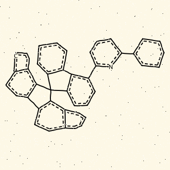 c1ccc(-c2cccc(-c3cccc4c3-c3ccccc3C43c4c(ccc5ccccc45)-c4ccc5ccccc5c43)n2)cc1